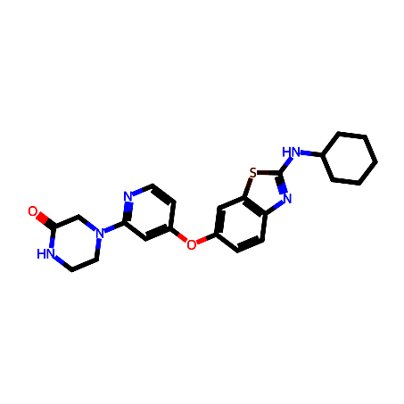 O=C1CN(c2cc(Oc3ccc4nc(NC5CCCCC5)sc4c3)ccn2)CCN1